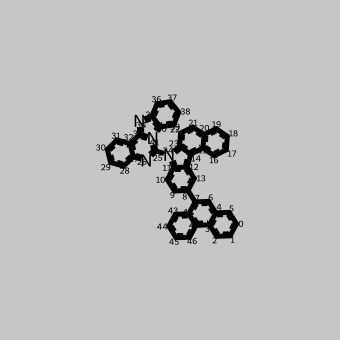 c1ccc2c(c1)cc(-c1ccc3c(c1)c1c4ccccc4ccc1n3-c1nc3ccccc3c3nc4ccccc4n13)c1ccccc12